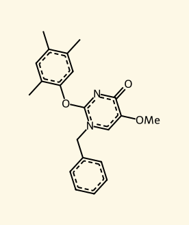 COc1cn(Cc2ccccc2)c(Oc2cc(C)c(C)cc2C)nc1=O